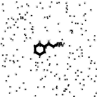 ClC(Cl)(Cl)COC1CCCCO1